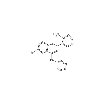 Nc1ccccc1COc1ccc(Br)cc1C(=O)Nc1cccnc1